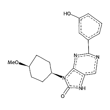 CO[C@H]1CC[C@@H](n2c(=O)[nH]c3cnc(-c4cccc(O)c4)nc32)CC1